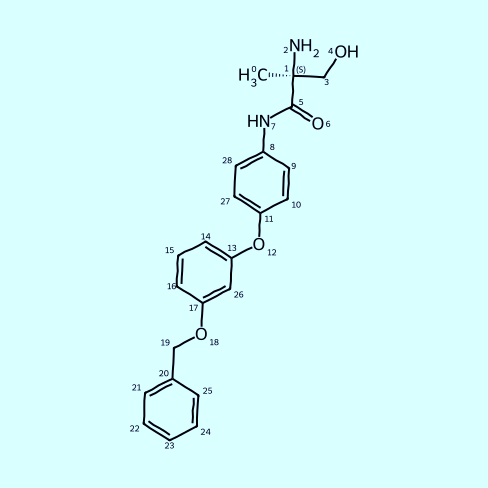 C[C@](N)(CO)C(=O)Nc1ccc(Oc2cccc(OCc3ccccc3)c2)cc1